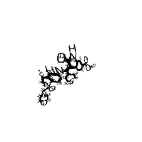 COC(=O)c1ccc2c(c1)NC(=O)/C2=C(\Nc1ccc2c(c1)CCN2C(=O)CN1CCOCC1)C1CCSCC1